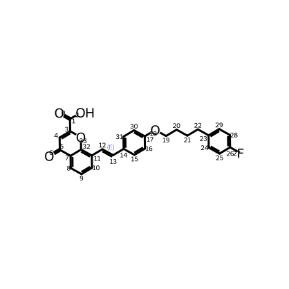 O=C(O)c1cc(=O)c2cccc(/C=C/c3ccc(OCCCCc4ccc(F)cc4)cc3)c2o1